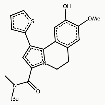 COc1cc2c(cc1O)-c1c(-c3cccs3)cc(C(=O)N(C)C(C)(C)C)n1CC2